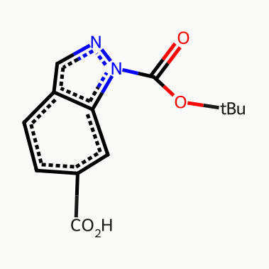 CC(C)(C)OC(=O)n1ncc2ccc(C(=O)O)cc21